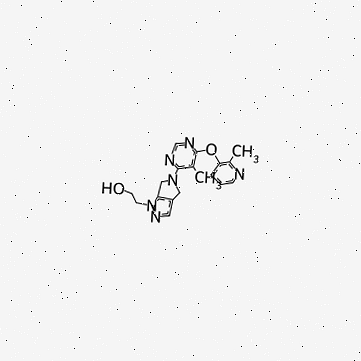 Cc1ncccc1Oc1ncnc(N2Cc3cnn(CCO)c3C2)c1C